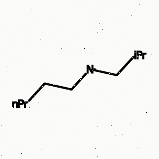 CCCCC[N]CC(C)C